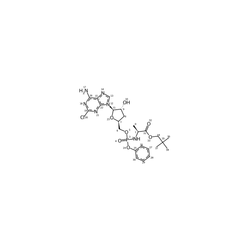 C[C@H](NP(=O)(OC[C@@H]1C[C@@H](O)[C@H](n2cnc3c(N)nc(Cl)nc32)O1)Oc1ccccc1)C(=O)OCC(C)(C)C